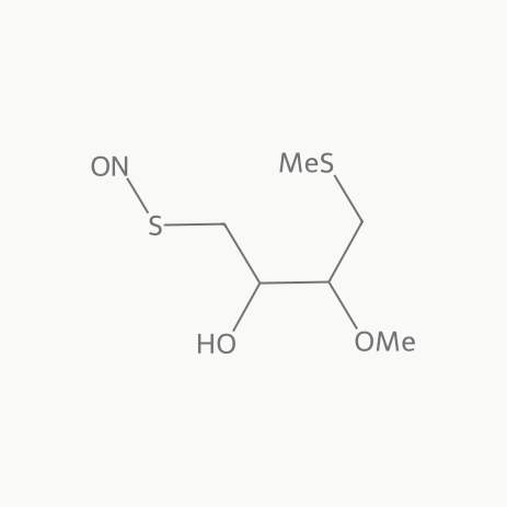 COC(CSC)C(O)CSN=O